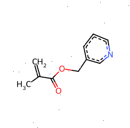 C=C(C)C(=O)OCc1cccnc1